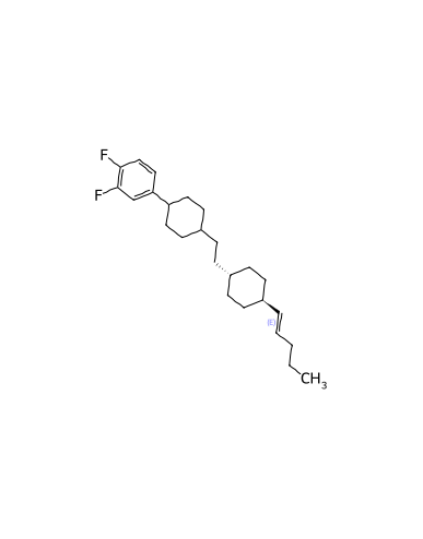 CCC/C=C/[C@H]1CC[C@H](CCC2CCC(c3ccc(F)c(F)c3)CC2)CC1